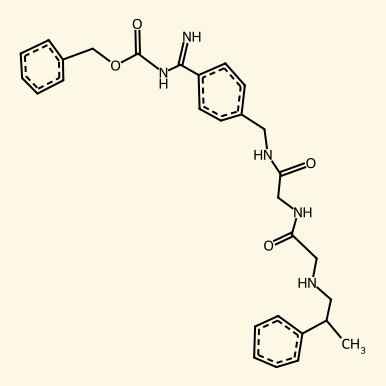 CC(CNCC(=O)NCC(=O)NCc1ccc(C(=N)NC(=O)OCc2ccccc2)cc1)c1ccccc1